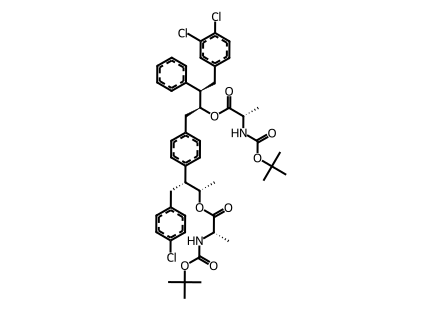 C[C@H](NC(=O)OC(C)(C)C)C(=O)O[C@@H](C)[C@H](Cc1ccc(Cl)cc1)c1ccc(C[C@H](OC(=O)[C@H](C)NC(=O)OC(C)(C)C)[C@H](Cc2ccc(Cl)c(Cl)c2)c2ccccc2)cc1